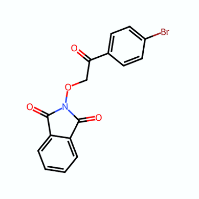 O=C(CON1C(=O)c2ccccc2C1=O)c1ccc(Br)cc1